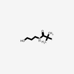 CC(C)(I)C(=O)NCCCO